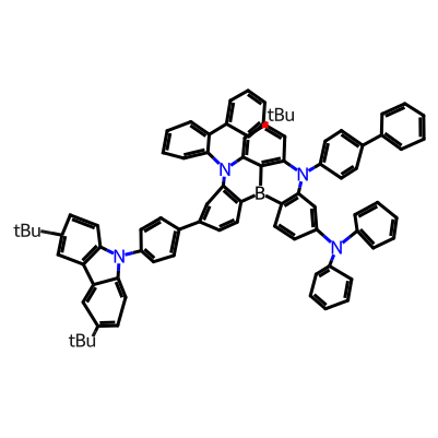 CC(C)(C)c1cc2c3c(c1)N(c1ccccc1-c1ccccc1)c1cc(-c4ccc(-n5c6ccc(C(C)(C)C)cc6c6cc(C(C)(C)C)ccc65)cc4)ccc1B3c1ccc(N(c3ccccc3)c3ccccc3)cc1N2c1ccc(-c2ccccc2)cc1